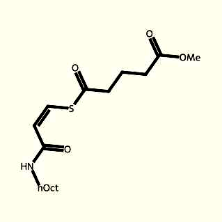 CCCCCCCCNC(=O)/C=C\SC(=O)CCCC(=O)OC